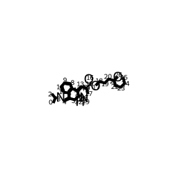 CC(C)n1cc2c3c(cccc31)C1=C[C@@H](C(=O)OCCCC3CCCCO3)CN(C)[C@@H]1C2